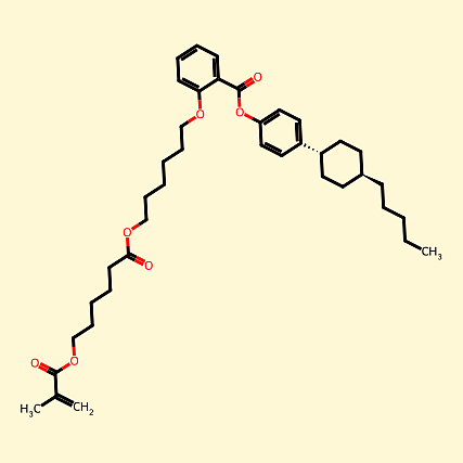 C=C(C)C(=O)OCCCCCC(=O)OCCCCCCOc1ccccc1C(=O)Oc1ccc([C@H]2CC[C@H](CCCCC)CC2)cc1